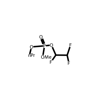 CCCOP(=O)(OC)OC(F)C(F)F